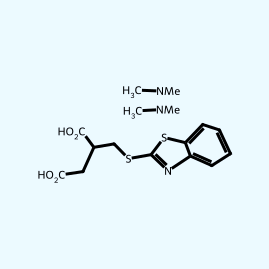 CNC.CNC.O=C(O)CC(CSc1nc2ccccc2s1)C(=O)O